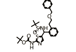 CC(C)(C)OC(=O)Nc1ncc(C(N[S+]([O-])C(C)(C)C)c2ccccc2CCOCc2ccccc2)s1